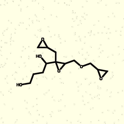 OCCCC(O)C1(CC2CO2)OC1COCC1CO1